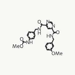 COC(=O)Nc1ccc(CNC(=O)c2cc(C(=O)NCc3cccc(OC)c3)ncn2)cc1